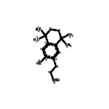 CC1(C)CCC(C)(C)c2cc(CCC=O)c(O)cc21